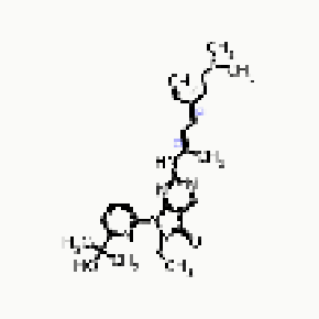 C=C/C(=C\C=C(/C)Nc1ncc2c(=O)n(CC)n(-c3cccc(C(C)(C)O)n3)c2n1)CCN(C)C